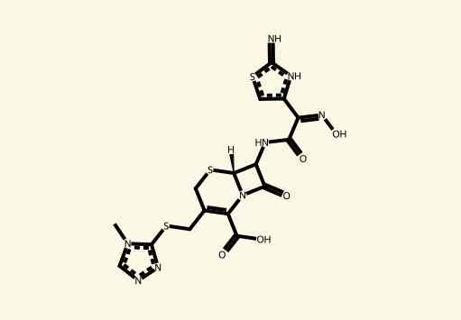 Cn1cnnc1SCC1=C(C(=O)O)N2C(=O)C(NC(=O)/C(=N\O)c3csc(=N)[nH]3)[C@H]2SC1